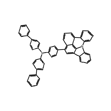 c1ccc(-c2ccc(N(c3ccc(-c4ccccc4)cc3)c3ccc(-c4cc5c6ccccc6n6c7ccccc7c7cccc4c7c56)cc3)cc2)cc1